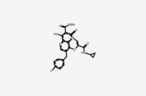 CNC(=O)c1c(O)c2ncc(Cc3ccc(F)cc3)c3c2n(c1=O)C=C(C(=O)NC1CC1)O3